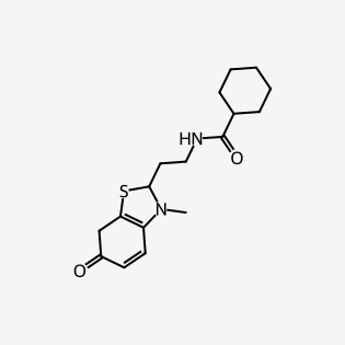 CN1C2=C(CC(=O)C=C2)SC1CCNC(=O)C1CCCCC1